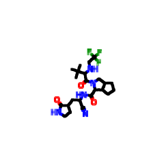 CC(C)(C)C(NCC(F)(F)F)C(=O)N1CC2CCCC2C1C(=O)NC(C#N)CC1CCNC1=O